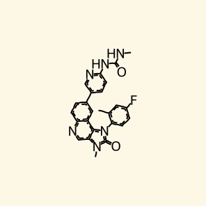 CNC(=O)Nc1ccc(-c2ccc3ncc4c(c3c2)n(-c2ccc(F)cc2C)c(=O)n4C)cn1